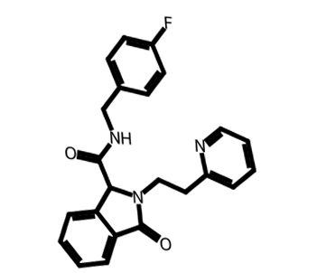 O=C(NCc1ccc(F)cc1)C1c2ccccc2C(=O)N1CCc1ccccn1